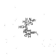 CC(C)C(N)C(=O)OC[C@H](CO)OCn1cnc2c(=O)[nH]c(N)nc21.Cl